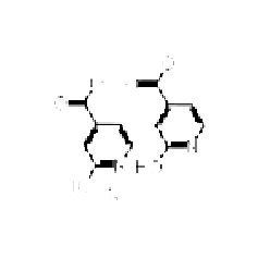 O=C([O-])c1ccnc(O)c1.O=C([O-])c1ccnc(O)c1.[Ni+2]